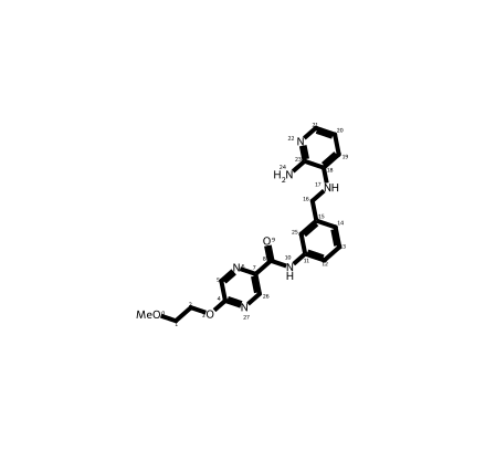 COCCOc1cnc(C(=O)Nc2cccc(CNc3cccnc3N)c2)cn1